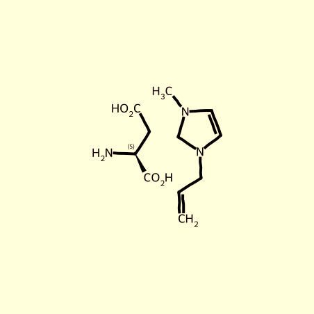 C=CCN1C=CN(C)C1.N[C@@H](CC(=O)O)C(=O)O